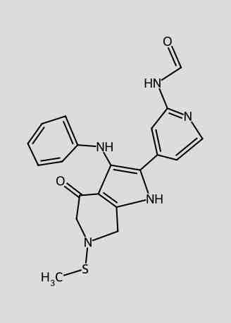 CSN1CC(=O)c2c([nH]c(-c3ccnc(NC=O)c3)c2Nc2ccccc2)C1